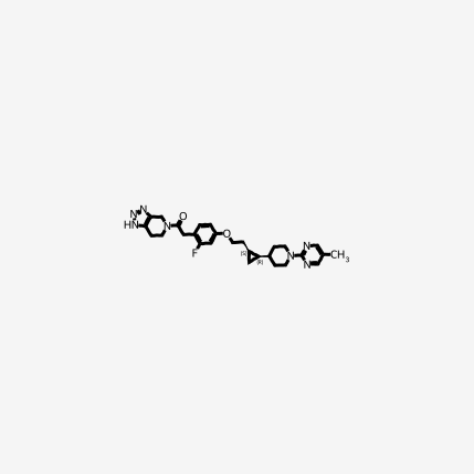 Cc1cnc(N2CCC([C@H]3C[C@H]3CCOc3ccc(CC(=O)N4CCc5[nH]nnc5C4)c(F)c3)CC2)nc1